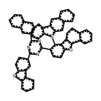 c1ccc2cc(-c3nc(-c4ccc5sc6ccccc6c5c4)nc(-c4ccc5oc6c7ccccc7ccc6c5c4-n4c5ccccc5c5cc6ccccc6cc54)n3)ccc2c1